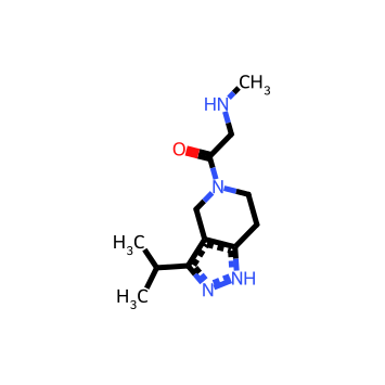 CNCC(=O)N1CCc2[nH]nc(C(C)C)c2C1